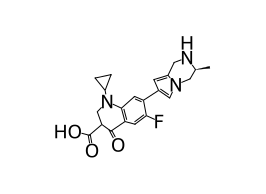 C[C@H]1Cn2cc(-c3cc4c(cc3F)C(=O)C(C(=O)O)CN4C3CC3)cc2CN1